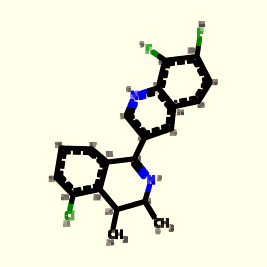 CC1N=C(c2cnc3c(F)c(F)ccc3c2)c2cccc(Cl)c2C1C